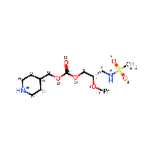 CC(C)O[C@@H](CNS(C)(=O)=O)COC(=O)OCC1CCNCC1